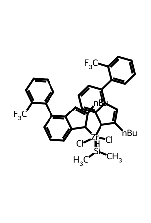 CCCCC1=Cc2c(-c3ccccc3C(F)(F)F)cccc2[CH]1[Zr]([Cl])([Cl])([CH]1C(CCCC)=Cc2c(-c3ccccc3C(F)(F)F)cccc21)[SiH](C)C